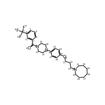 O=C(c1cccc(C(F)(F)F)c1)N1CCN(c2ccc(OCCCN3CCCCCCC3)cc2)CC1